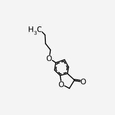 CCCCOc1ccc2c(c1)OCC2=O